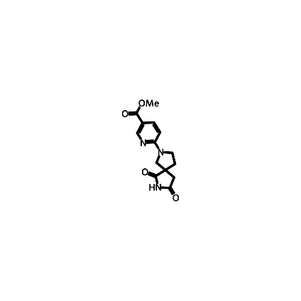 COC(=O)c1ccc(N2CCC3(CC(=O)NC3=O)C2)nc1